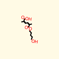 CC(=CC=C(C)C(=O)OCCCCCO)C(=O)O